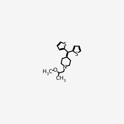 COC(C)CN1CCC(=C(c2cccs2)c2cccs2)CC1